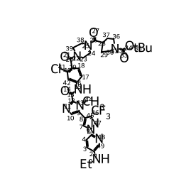 CCNc1ccc(-n2cc(-c3cnc(C(=O)Nc4ccc(C(=O)N5CCN(C(=O)C6CCN(C(=O)OC(C)(C)C)CC6)CC5)c(Cl)c4)n3C)c(C(F)(F)F)n2)nc1